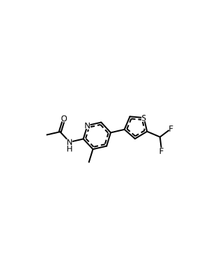 CC(=O)Nc1ncc(-c2csc(C(F)F)c2)cc1C